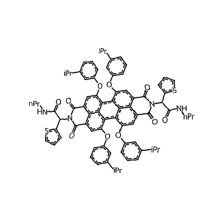 CCCNC(=O)C(c1cccs1)N1C(=O)c2cc(Oc3cccc(C(C)C)c3)c3c4c(Oc5cccc(C(C)C)c5)cc5c6c(cc(Oc7cccc(C(C)C)c7)c(c7c(Oc8cccc(C(C)C)c8)cc(c2c37)C1=O)c64)C(=O)N(C(C(=O)NCCC)c1cccs1)C5=O